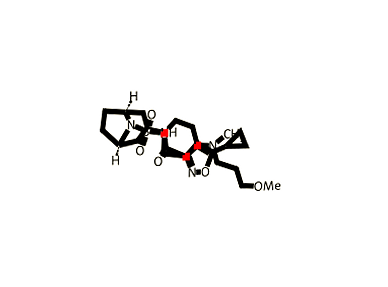 COCCCN(C)C1CCN(S(=O)(=O)N2[C@@H]3CC[C@H]2C[C@@H](NC(=O)c2cc(C4CC4)on2)C3)CC1